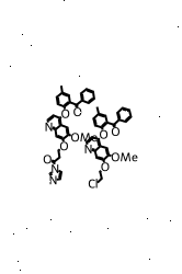 COc1cc2c(Oc3ccc(C)cc3C(=O)c3ccccc3)ccnc2cc1OCCC(=O)n1ccnc1.COc1cc2c(Oc3ccc(C)cc3C(=O)c3ccccc3)ccnc2cc1OCCCl